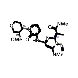 C=NN1C(NC)=CC(Nc2cccn([C@@H]3CCOC[C@@H]3OC)c2=O)=N/C1=C(/C)C(=O)NC